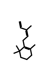 C=CC(C)=CCC1=C(C)CCCC1(C)C